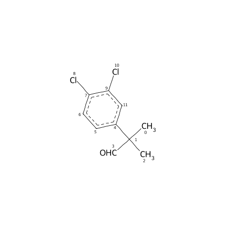 CC(C)(C=O)c1ccc(Cl)c(Cl)c1